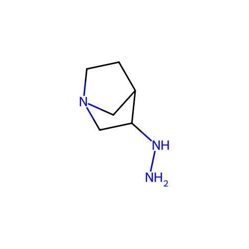 NNC1CN2CCC1C2